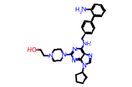 Nc1ccccc1-c1ccc(CNc2nc(N3CCN(CCO)CC3)nc3c2ncn3C2CCCC2)cc1